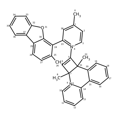 Cc1cc[n+](C2=CC3(C)[n+]4ccccc4-c4ccccc4C23C)c(-c2c(C)ccc3c2oc2ccccc23)c1